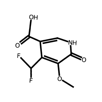 COc1c(C(F)F)c(C(=O)O)c[nH]c1=O